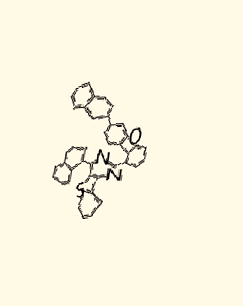 c1ccc2cc(-c3ccc4c(c3)oc3cccc(-c5nc(-c6cccc7ccccc67)c6sc7ccccc7c6n5)c34)ccc2c1